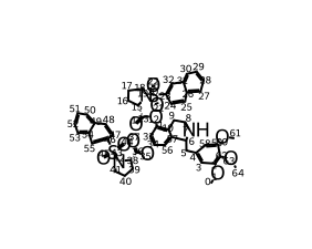 COc1cc(CC2NCCc3c(OC(=O)[C@@H]4CCCN4S(=O)(=O)c4ccc5ccccc5c4)cc(OC(=O)[C@@H]4CCCN4S(=O)(=O)c4ccc5ccccc5c4)cc32)cc(OC)c1OC